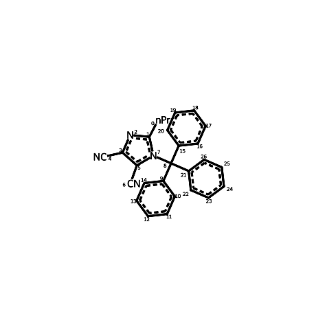 CCCc1nc(C#N)c(C#N)n1C(c1ccccc1)(c1ccccc1)c1ccccc1